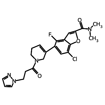 CN(C)C(=O)c1cc2c(F)c(C3=CCCN(C(=O)CCn4cccn4)C3)cc(Cl)c2o1